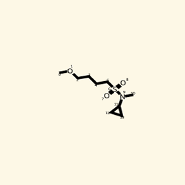 COCCCCS(=O)(=O)N(C)C1CC1